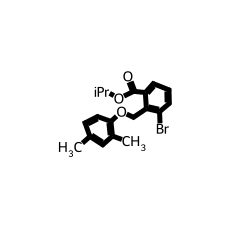 Cc1ccc(OCc2c(Br)cccc2C(=O)OC(C)C)c(C)c1